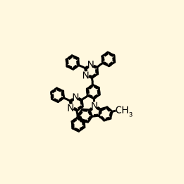 Cc1ccc2c3ccccc3n(-c3ccc(-c4cc(-c5ccccc5)nc(-c5ccccc5)n4)cc3-c3cc(-c4ccccc4)nc(-c4ccccc4)n3)c2c1